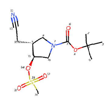 CC(C)(C)OC(=O)N1C[C@@H](CC#N)[C@H](OS(C)(=O)=O)C1